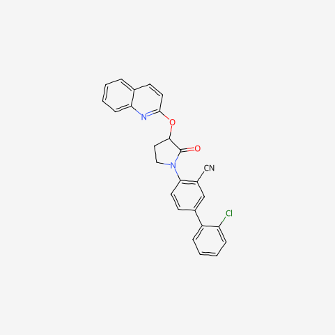 N#Cc1cc(-c2ccccc2Cl)ccc1N1CCC(Oc2ccc3ccccc3n2)C1=O